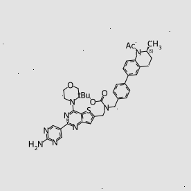 CC(=O)N1c2ccc(-c3ccc(CN(Cc4cc5nc(-c6cnc(N)nc6)nc(N6CCOCC6)c5s4)C(=O)OC(C)(C)C)cc3)cc2CC[C@@H]1C